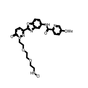 COc1ccc(C(=O)Nc2ccc3oc(-c4ccc(=O)n(CCOCCOCCNCl)n4)nc3c2)nc1